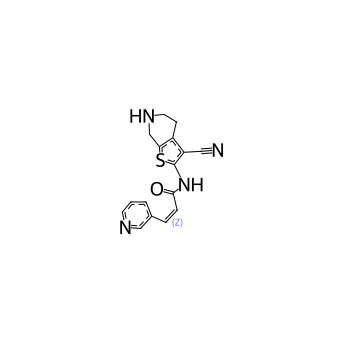 N#Cc1c(NC(=O)/C=C\c2cccnc2)sc2c1CCNC2